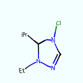 CCN1N=CN(Cl)C1C(C)C